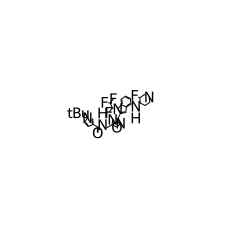 CN1CCC(Nc2cccc3c2cc(-c2noc(CNC(=O)c4ccn(C(C)(C)C)c4)n2)n3C(F)C(F)F)C(F)C1